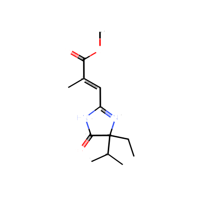 CCC1(C(C)C)N=C(/C=C(\C)C(=O)OC)NC1=O